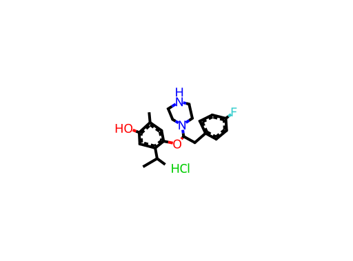 Cc1cc(OC(Cc2ccc(F)cc2)N2CCNCC2)c(C(C)C)cc1O.Cl